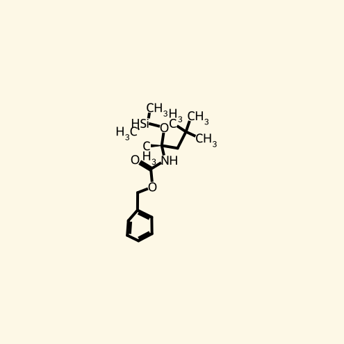 C[SiH](C)O[C@](C)(CC(C)(C)C)NC(=O)OCc1ccccc1